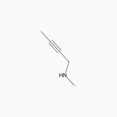 [CH2]NCC#CC